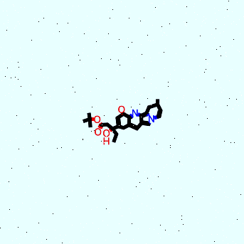 CCC(O)(CC(=O)OC(C)(C)C)C1=CC(=O)c2nc3c4n(cc3cc2C1)C=CC(C)C4